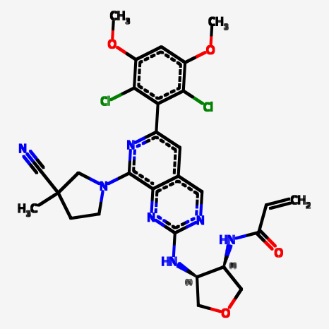 C=CC(=O)N[C@H]1COC[C@H]1Nc1ncc2cc(-c3c(Cl)c(OC)cc(OC)c3Cl)nc(N3CCC(C)(C#N)C3)c2n1